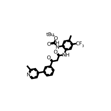 Cc1cc(-c2cccc(C(=O)CC(=O)Nc3cc(C(F)(F)F)c(C)cc3NC(=O)OC(C)(C)C)c2)ccn1